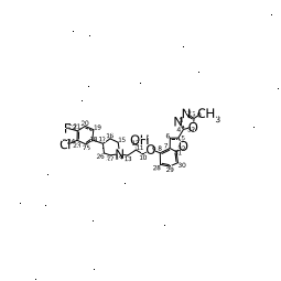 Cc1nnc(-c2cc3c(OC[C@@H](O)CN4CCC(c5ccc(F)c(Cl)c5)CC4)cccc3o2)o1